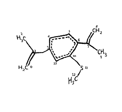 C=C(C)c1ccc(C(=C)C)c(SC)c1